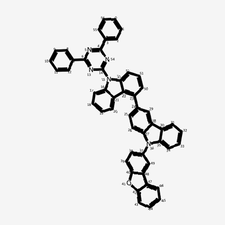 c1ccc(-c2nc(-c3ccccc3)nc(-n3c4ccccc4c4c(-c5ccc6c(c5)c5ccccc5n6-c5ccc6oc7ccccc7c6c5)cccc43)n2)cc1